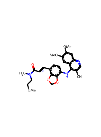 COCCN(C)C(=O)/C=C/c1ccc(Nc2c(C#N)cnc3cc(OC)c(OC)cc23)c2c1OCO2